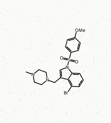 COc1ccc(S(=O)(=O)n2cc(CN3CCN(C)CC3)c3c(Br)cccc32)cc1